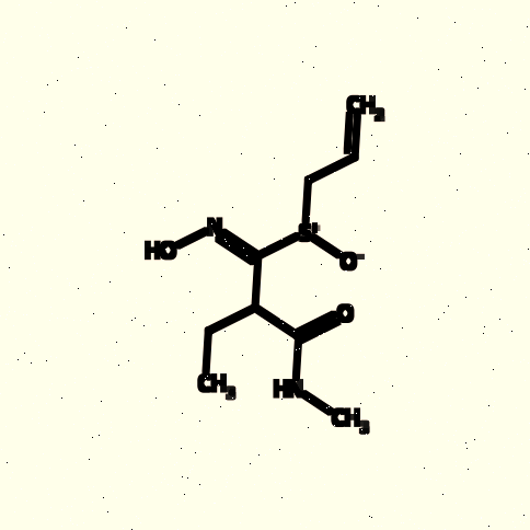 C=CC[S+]([O-])C(=NO)C(CC)C(=O)NC